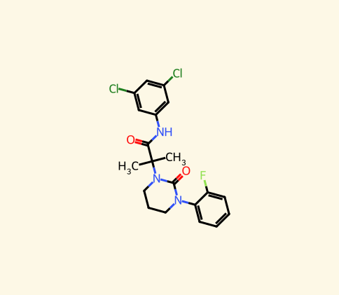 CC(C)(C(=O)Nc1cc(Cl)cc(Cl)c1)N1CCCN(c2ccccc2F)C1=O